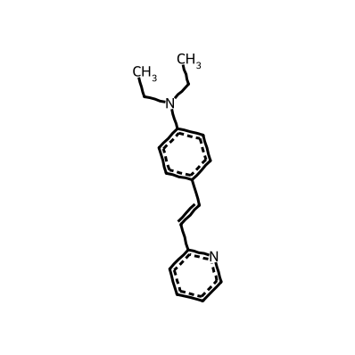 CCN(CC)c1ccc(/C=C/c2ccccn2)cc1